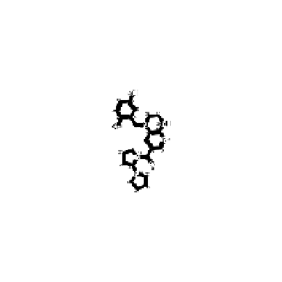 O=C(c1cnc2c(c1)N(Cc1cc(Cl)ccc1Cl)CCN2)N1CCCC1N1CCCC1